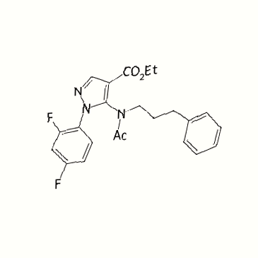 CCOC(=O)c1cnn(-c2ccc(F)cc2F)c1N(CCCc1ccccc1)C(C)=O